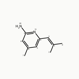 CC(C)=Cc1cc(C)cc(N)n1